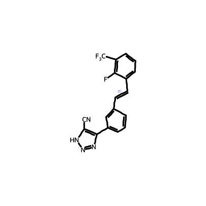 N#Cc1[nH]nnc1-c1cccc(/C=C/c2cccc(C(F)(F)F)c2F)c1